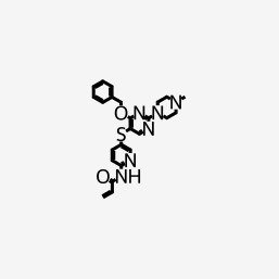 C=CC(=O)Nc1ccc(Sc2cnc(N3CCN(C)CC3)nc2OCc2ccccc2)cn1